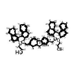 OCCOc1ccc2ccccc2c1-c1c(OCc2ccc3c(c2)Cc2cc(COc4ccc5ccccc5c4-c4c(OCCO)ccc5ccccc45)ccc2-3)ccc2ccccc12